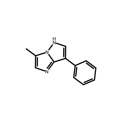 Cc1cnc2c(-c3ccccc3)c[nH]n12